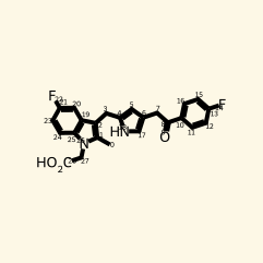 Cc1c(Cc2cc(CC(=O)c3ccc(F)cc3)c[nH]2)c2cc(F)ccc2n1CC(=O)O